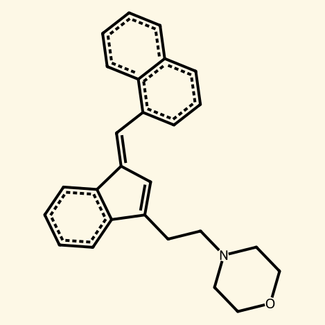 C(=C1C=C(CCN2CCOCC2)c2ccccc21)c1cccc2ccccc12